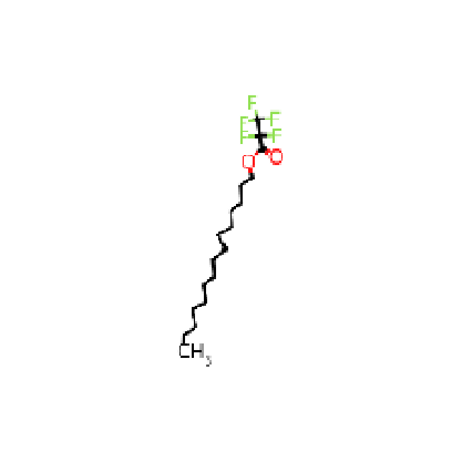 CCCCCCCCCCCCCCCOC(=O)C(F)(F)C(F)(F)F